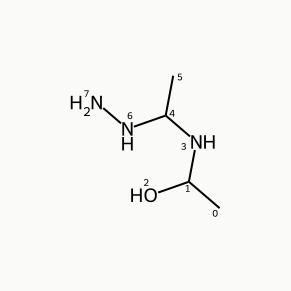 CC(O)NC(C)NN